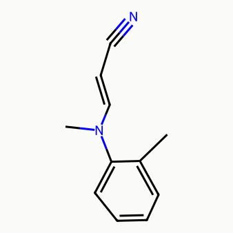 Cc1ccccc1N(C)C=CC#N